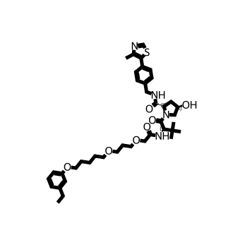 CCc1cccc(OCCCCCOCCCOCC(=O)N[C@H](C(=O)N2C[C@H](O)C[C@H]2C(=O)NCc2ccc(-c3scnc3C)cc2)C(C)(C)C)c1